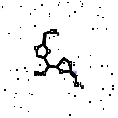 CC=C1OCC(C(OC)C2CO/C(=C/C)O2)O1